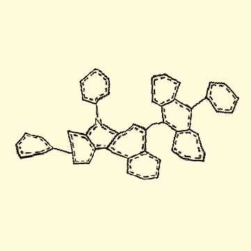 c1ccc(-c2ccc3c4c5ccccc5c(-c5c6ccccc6c(-c6ccccc6)c6ccccc56)cc4n(-c4ccccc4)c3c2)cc1